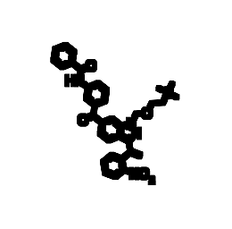 C=C(c1ccccc1[N+](=O)[O-])c1nn(COCC[Si](C)(C)C)c2cc(C(=O)c3cccc(NC(=O)c4ccccc4)c3)ccc12